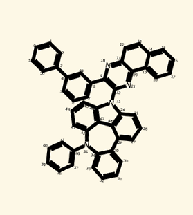 c1ccc(-c2cccc(-c3nc4ccc5ccccc5c4nc3-n3c4cccc5c6ccccc6n(-c6ccccc6)c6cccc3c6c54)c2)cc1